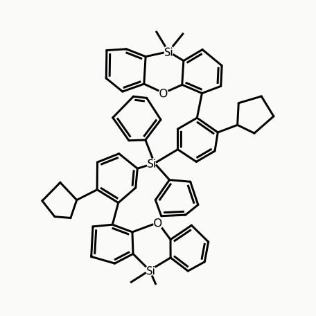 C[Si]1(C)c2ccccc2Oc2c(-c3cc([Si](c4ccccc4)(c4ccccc4)c4ccc(C5CCCC5)c(-c5cccc6c5Oc5ccccc5[Si]6(C)C)c4)ccc3C3CCCC3)cccc21